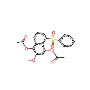 COc1cc(OC(C)=O)c2c(S(=O)(=O)c3ccccc3)cccc2c1OC(C)=O